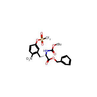 CC(C)(C)OC(=O)N[C@@H](Cc1cc(OS(=O)(=O)C(F)(F)F)ccc1[N+](=O)[O-])C(=O)OCc1ccccc1